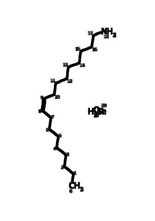 CCCCCCCC/C=C\CCCCCCCCN.[Cu].[SeH2]